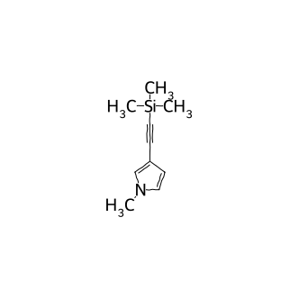 Cn1ccc(C#C[Si](C)(C)C)c1